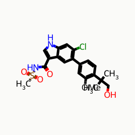 COc1cc(-c2cc3c(C(=O)NS(C)(=O)=O)c[nH]c3cc2Cl)ccc1C(C)(C)CO